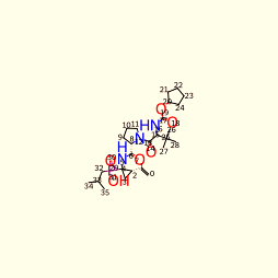 C=C[C@@H]1C[C@]1(NC(=O)[C@@H]1CCCN1C(=O)[C@@H](NC(=O)OC1CCCC1)C(C)(C)C)P(=O)(O)CC(C)C